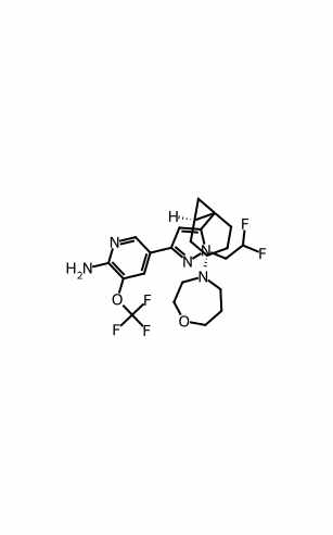 Nc1ncc(-c2cc(C34CC[C@H](N5CCCOCC5)C[C@H]3C4)n(CC(F)F)n2)cc1OC(F)(F)F